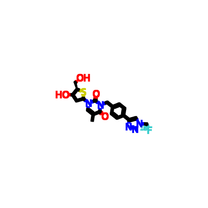 Cc1cn(C2CC(O)[C@@H](CO)S2)c(=O)n(Cc2ccc(-c3cn(C[18F])nn3)cc2)c1=O